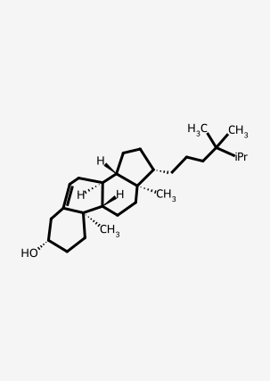 CC(C)C(C)(C)CCC[C@H]1CC[C@H]2[C@@H]3CC=C4C[C@@H](O)CC[C@]4(C)[C@H]3CC[C@]12C